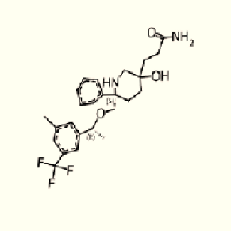 Cc1cc([C@@H](C)OC[C@@]2(c3ccccc3)CCC(O)(CCC(N)=O)CN2)cc(C(F)(F)F)c1